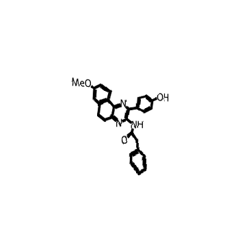 COc1ccc2c(c1)CCc1nc(NC(=O)Cc3ccccc3)c(-c3ccc(O)cc3)nc1-2